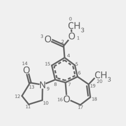 COC(=O)c1cc2c(c(N3CCCC3=O)c1)OCC=C2C